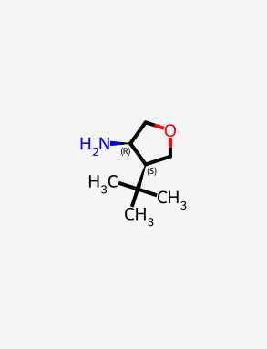 CC(C)(C)[C@@H]1COC[C@@H]1N